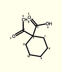 CC(=O)C1(C(=O)O)CCCCC1